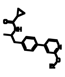 CCOc1cc(-c2ccc(CC(C)NC(=O)C3CC3)cc2)ccn1